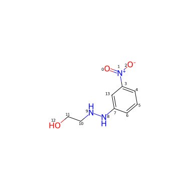 O=[N+]([O-])c1cccc(NNCCO)c1